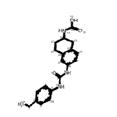 CCc1ccc(NC(=O)Nc2ccc3c(c2)CCC(NC(=O)O)C3)cc1